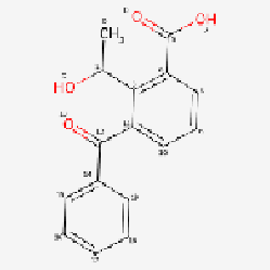 CC(O)c1c(C(=O)O)cccc1C(=O)c1ccccc1